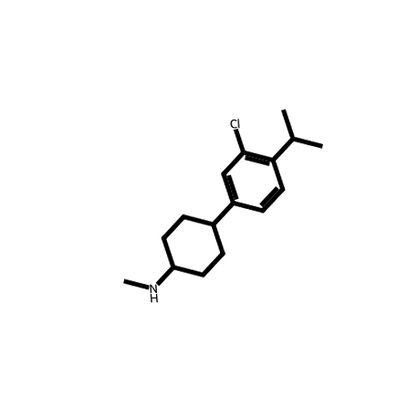 CNC1CCC(c2ccc(C(C)C)c(Cl)c2)CC1